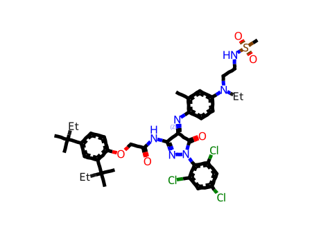 CCN(CCNS(C)(=O)=O)c1ccc(/N=C2\C(=O)N(c3c(Cl)cc(Cl)cc3Cl)N=C2NC(=O)COc2ccc(C(C)(C)CC)cc2C(C)(C)CC)c(C)c1